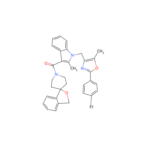 CCc1ccc(-c2nc(Cn3c(C)c(C(=O)N4CCC5(CC4)OCc4ccccc45)c4ccccc43)c(C)o2)cc1